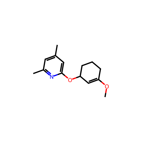 COC1=CC(Oc2cc(C)cc(C)n2)CCC1